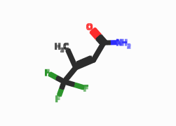 C/C(=C\C(N)=O)C(F)(F)F